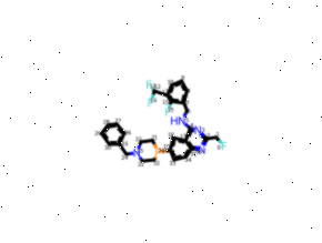 FCc1nc(NCc2cccc(C(F)F)c2F)c2cc(P3CCN(Cc4ccccc4)CC3)ccc2n1